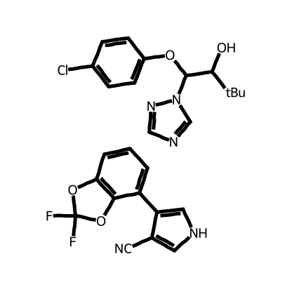 CC(C)(C)C(O)C(Oc1ccc(Cl)cc1)n1cncn1.N#Cc1c[nH]cc1-c1cccc2c1OC(F)(F)O2